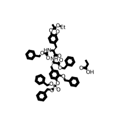 CCC(=O)O.CCOC1(C)Oc2ccc(C[C@H](NC(=O)OCc3ccccc3)C(=O)N[C@@H](Cc3ccc(OP(=O)(OCc4ccccc4)OCc4ccccc4)c(OCc4ccccc4)c3)C(=O)OCc3ccccc3)cc2O1